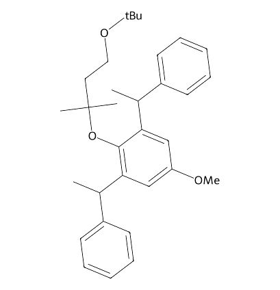 COc1cc(C(C)c2ccccc2)c(OC(C)(C)CCOC(C)(C)C)c(C(C)c2ccccc2)c1